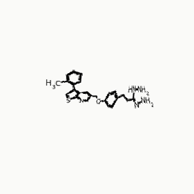 Cc1ccccc1-c1csc2ncc(COc3ccc(CC/C(=N/N)NN)cc3)cc12